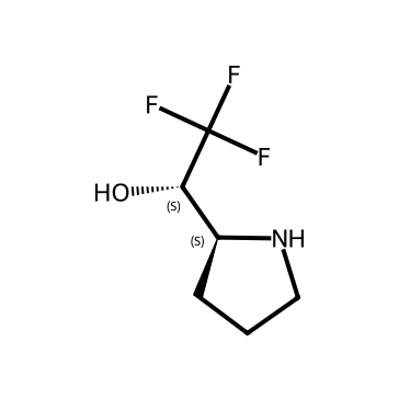 O[C@@H]([C@@H]1CCCN1)C(F)(F)F